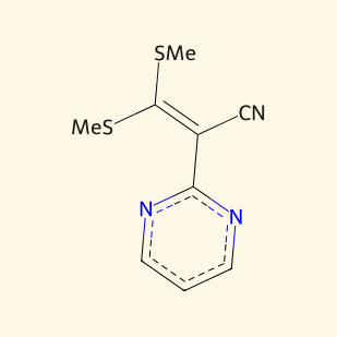 CSC(SC)=C(C#N)c1ncccn1